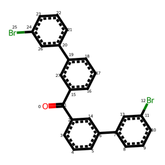 O=C(c1cccc(-c2cccc(Br)c2)c1)c1cccc(-c2cccc(Br)c2)c1